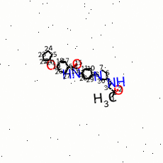 CC(=O)CNC1CCN(c2ccc(NC(=O)c3ccc(OC4CCCC4)cc3)cc2)C1